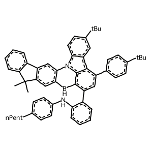 CCCCCc1ccc(Nc2ccccc2-c2cc(-c3ccc(C(C)(C)C)cc3)c3c4cc(C(C)(C)C)ccc4n4c3c2Bc2cc3c(cc2-4)-c2ccccc2C3(C)C)cc1